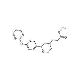 CC(C)(C)OC(=O)CCN1CCOC(c2ccc(Oc3ncccn3)cc2)C1